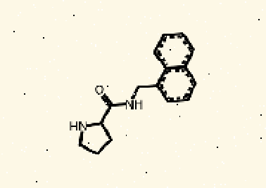 O=C(NCc1cccc2ccccc12)C1CCCN1